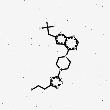 FCCc1nnc(N2CCN(c3ncnc4sc(CC(F)(F)F)cc34)CC2)s1